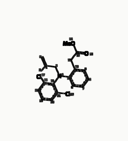 C=C(C)CN(c1ccccc1CC(=O)OC)c1c(Cl)cccc1Cl